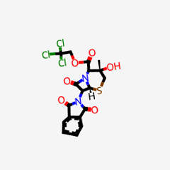 C[C@@]1(O)CS[C@H]2C(N3C(=O)c4ccccc4C3=O)C(=O)N2C1C(=O)OCC(Cl)(Cl)Cl